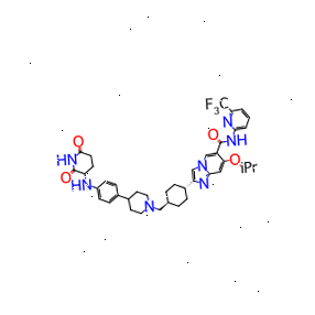 CC(C)Oc1cc2nc([C@H]3CC[C@H](CN4CCC(c5ccc(NC6CCC(=O)NC6=O)cc5)CC4)CC3)cn2cc1C(=O)Nc1cccc(C(F)(F)F)n1